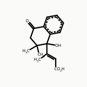 CC(=CC(=O)O)C1(O)c2ccccc2C(=O)CC1(C)C